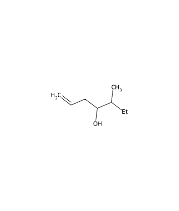 C=CCC(O)C(C)CC